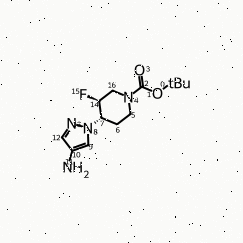 CC(C)(C)OC(=O)N1CC[C@H](n2cc(N)cn2)[C@@H](F)C1